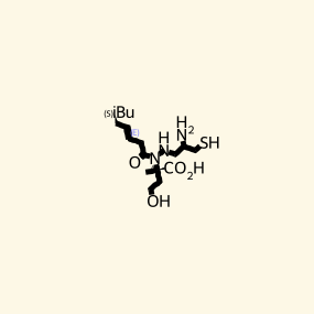 CC[C@H](C)C/C=C/CC(=O)N(NCC(N)CS)[C@](C)(CCO)C(=O)O